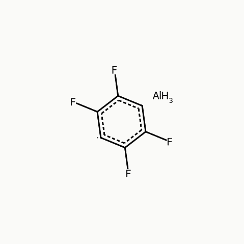 Fc1[c]c(F)c(F)cc1F.[AlH3]